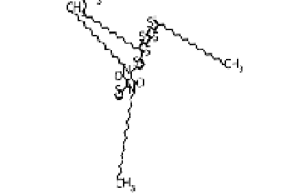 CCCCCCCCCCCCCCCCCc1[c]sc2c1sc1c3sc(-c4ccc(C5=C6C(=O)N(CCCCCCCCCCCCCCCCC)C(c7cccs7)=C6C(=O)N5CCCCCCCCCCCCCCCCC)s4)c(CCCCCCCCCCCCCCCCC)c3sc21